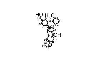 Cc1cccc(-c2cc(C3(O)CCC4(CC3)OCCO4)nn2-c2ccc(CO)cc2)c1